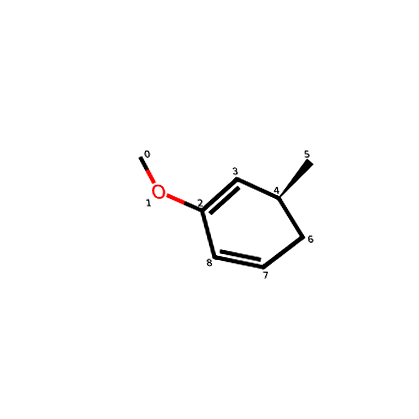 COC1=C[C@@H](C)CC=C1